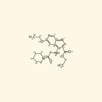 CCOC(=O)c1cnc2ccc(OCC)cc2c1NCC(=O)N1CCCCC1